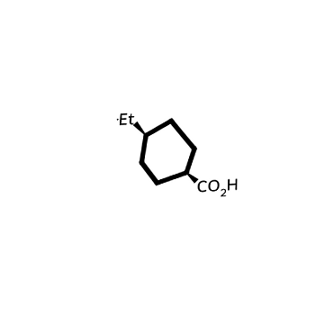 C[CH][C@H]1CC[C@@H](C(=O)O)CC1